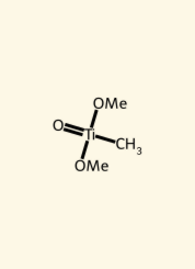 C[O][Ti]([CH3])(=[O])[O]C